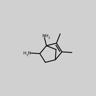 CC1=C(C)C2(N)CC1CC2N